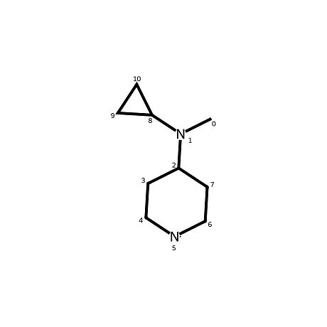 CN(C1CC[N]CC1)C1CC1